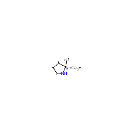 CC[C@]1(C(=O)O)CCCN1